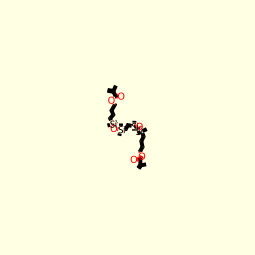 C=C(C)C(=O)OCCCC[Si](C)(C)O[Si](C)(C)CC[Si](C)(C)O[Si](C)(C)CCCCOC(=O)C(=C)C